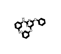 O=S(=O)(O)c1cccc(Nc2nc(Oc3ccccc3)cc(Oc3ccccc3)n2)c1